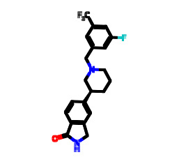 O=C1NCc2cc([C@@H]3CCCN(Cc4cc(F)cc(C(F)(F)F)c4)C3)ccc21